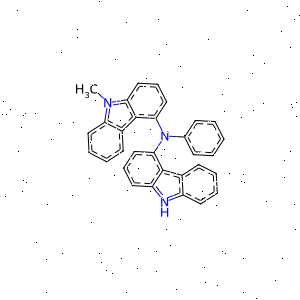 Cn1c2ccccc2c2c(N(c3ccccc3)c3cccc4[nH]c5ccccc5c34)cccc21